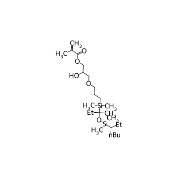 C=C(C)C(=O)OCC(O)COCCC[Si](C)(C)C(C)(CC)O[Si](C)(C)C(CC)CCCC